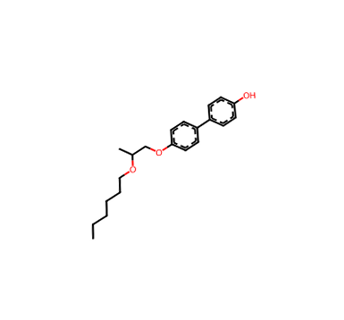 CCCCCCOC(C)COc1ccc(-c2ccc(O)cc2)cc1